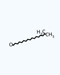 CC(C)CCCCCCCCCCCCCCC=O